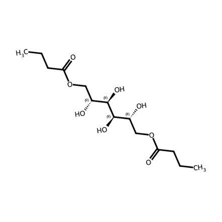 CCCC(=O)OC[C@@H](O)[C@@H](O)[C@H](O)[C@H](O)COC(=O)CCC